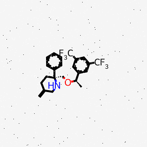 C=C1CC[C@@](CO[C@H](C)c2cc(C(F)(F)F)cc(C(F)(F)F)c2)(c2ccccc2)NC1